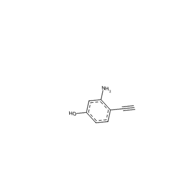 C#Cc1ccc(O)cc1N